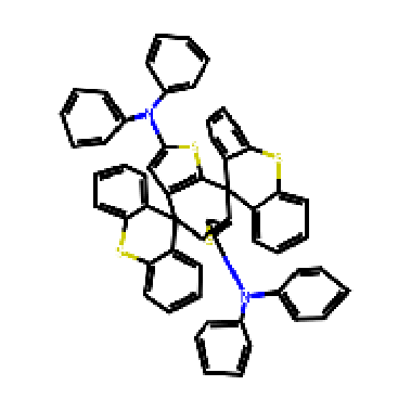 c1ccc(N(c2ccccc2)c2cc3c(s2)C2(c4ccccc4Sc4ccccc42)c2cc(N(c4ccccc4)c4ccccc4)sc2C32c3ccccc3Sc3ccccc32)cc1